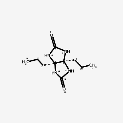 CCC[C@]12NC(=O)N[C@@]1(CCC)NC(=O)N2